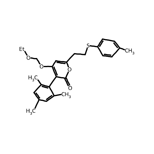 CCOCOc1cc(CCSc2ccc(C)cc2)oc(=O)c1-c1c(C)cc(C)cc1C